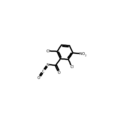 O=C=NC(=O)c1c(Cl)ccc([N+](=O)[O-])c1Cl